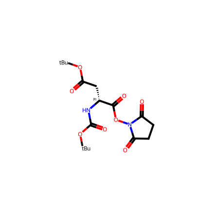 CC(C)(C)OC(=O)C[C@@H](NC(=O)OC(C)(C)C)C(=O)ON1C(=O)CCC1=O